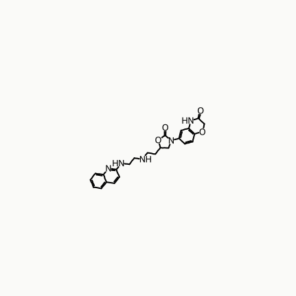 O=C1COc2ccc(N3CC(CCNCCNc4ccc5ccccc5n4)OC3=O)cc2N1